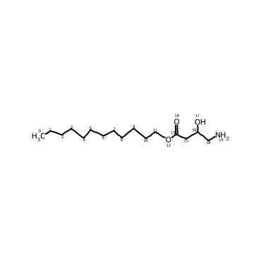 CCCCCCCCCCCCOC(=O)CC(O)CN